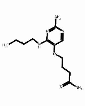 CCCCNc1nc(N)ncc1OCCCC(N)=O